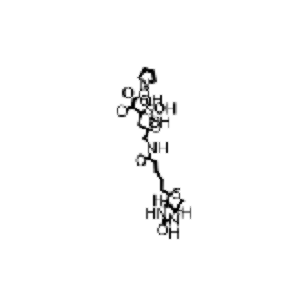 O=C(CNC(=O)CCCCC1SC[C@@H]2NC(=O)N[C@H]12)CC(C(=O)C(=O)ON1CCCC1)S(O)(O)O